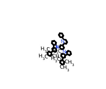 Cc1cc(C)c(-c2ccc3c(c2)c2ccccc2n3-c2cc(-c3cccc(-c4ccccc4)n3)cc(-n3c4ccccc4c4cc(-c5c(C)cc(C)cc5C)ccc43)c2C(F)(F)F)c(C)c1